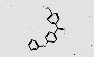 CC(=O)c1ccc(C(=O)c2ccc(Oc3ccccc3)cc2)cc1